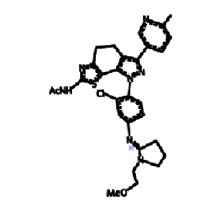 COCCN1CCC/C1=N\c1ccc(-n2nc(-c3ccc(C)nc3)c3c2-c2sc(NC(C)=O)nc2CC3)c(Cl)c1